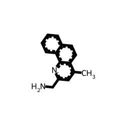 Cc1cc(CN)nc2c1ccc1ccccc12